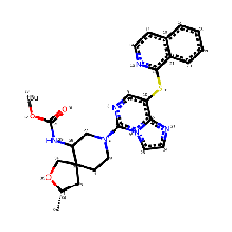 C[C@H]1CC2(CCN(c3ncc(Sc4nccc5ccccc45)c4nccn34)CC2NC(=O)OC(C)(C)C)CO1